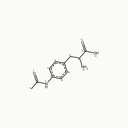 CC(=O)Nc1ccc(CC(N)C(=O)O)cc1